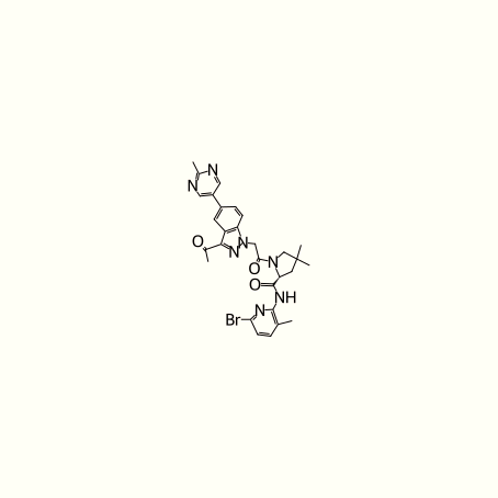 CC(=O)c1nn(CC(=O)N2CC(C)(C)C[C@H]2C(=O)Nc2nc(Br)ccc2C)c2ccc(-c3cnc(C)nc3)cc12